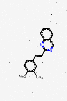 COc1ccc(C=Cc2ncc3ccccc3n2)cc1OC